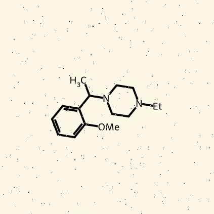 CCN1CCN(C(C)c2ccccc2OC)CC1